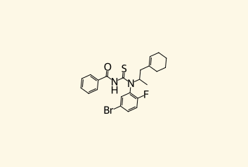 CC(CC1=CCCCC1)N(C(=S)NC(=O)c1ccccc1)c1cc(Br)ccc1F